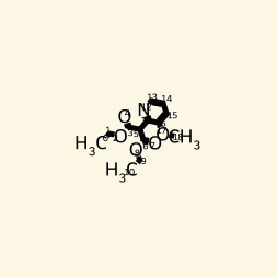 CCOC(=O)C(C(=O)OCC)c1ncccc1OC